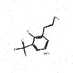 Cl.NCCc1cccc(C(F)(F)F)c1F